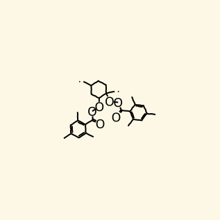 [CH2]C1CCC([CH2])(OOC(=O)c2c(C)cc(C)cc2C)C(OOC(=O)c2c(C)cc(C)cc2C)C1